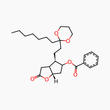 CCCCCCCC1(CC[C@H]2C(OC(=O)c3ccccc3)C[C@@H]3OC(=O)CC23)OCCCO1